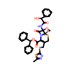 COC1(NC(=O)C(O)c2ccccc2)C(=O)N2C(C(=O)OC(c3ccccc3)c3ccccc3)=C(CSc3nnc(C)s3)CS[C@H]21